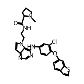 CN1CCCC1C(=O)NCCn1ccc2ncnc(Nc3ccc(Oc4ccc5ccsc5c4)c(Cl)c3)c21